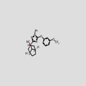 CC(C)n1nc(NC2[C@@H]3CC[C@H]2CN(C#N)C3)nc1Oc1cccc(OC(F)(F)F)c1